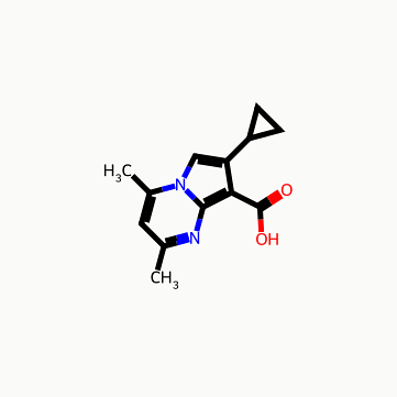 Cc1cc(C)n2cc(C3CC3)c(C(=O)O)c2n1